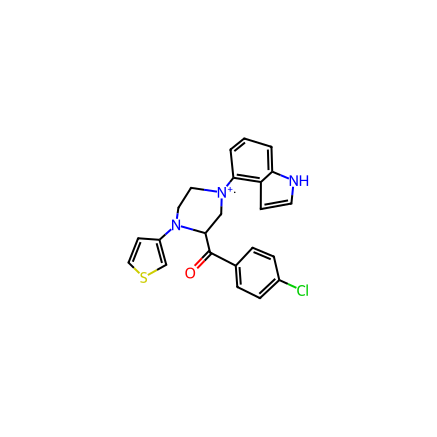 O=C(c1ccc(Cl)cc1)C1C[N+](c2cccc3[nH]ccc23)CCN1c1ccsc1